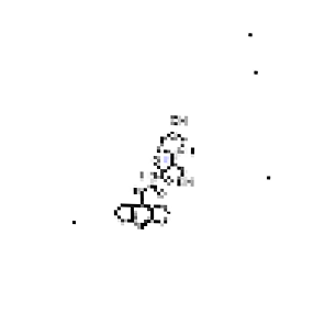 N=C/C(=C1\NC[C@@H](O)CO1)S(=O)(=O)NC(=O)Nc1c2c(cc3c1CCC3)CCC2